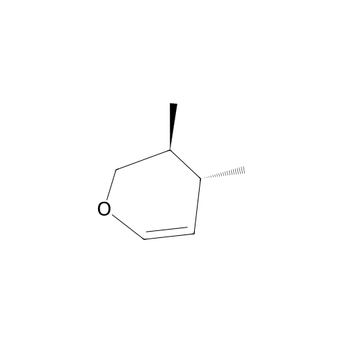 C[C@@H]1C=COC[C@H]1C